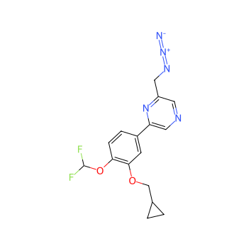 [N-]=[N+]=NCc1cncc(-c2ccc(OC(F)F)c(OCC3CC3)c2)n1